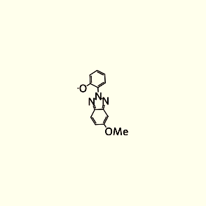 COc1ccc2nn(-c3ccccc3[O])nc2c1